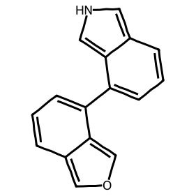 c1cc(-c2cccc3cocc23)c2c[nH]cc2c1